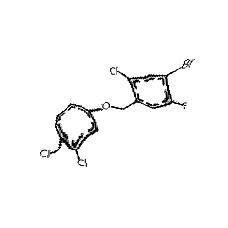 Fc1cc(COc2ccc(Cl)c(Cl)c2)c(Cl)cc1Br